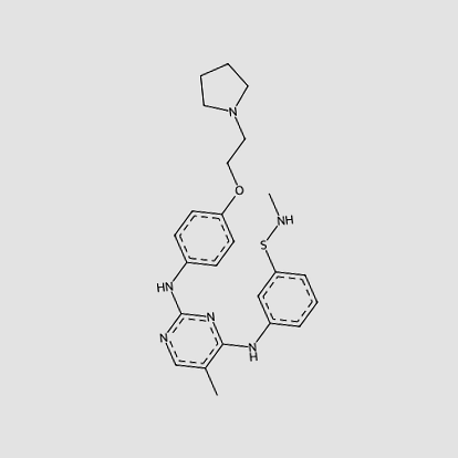 CNSc1cccc(Nc2nc(Nc3ccc(OCCN4CCCC4)cc3)ncc2C)c1